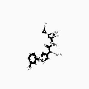 C[C@H](C(=O)Nc1cc([C@@H]2C[C@H]2F)[nH]n1)c1cnn(-c2cccc(Cl)c2)c1